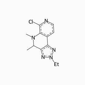 CCn1nc2c(n1)C(C)N(C)c1c-2ccnc1Cl